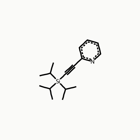 CC(C)[Si](C#Cc1ccccn1)(C(C)C)C(C)C